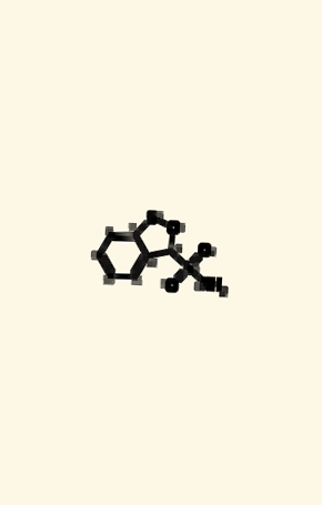 NS(=O)(=O)C1OSc2ccccc21